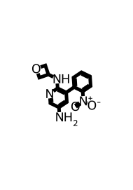 Nc1cnc(NC2COC2)c(-c2ccccc2[N+](=O)[O-])c1